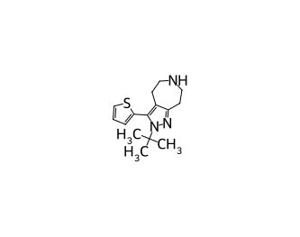 CC(C)(C)n1nc2c(c1-c1cccs1)CCNCC2